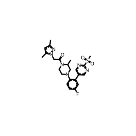 Cc1cc(C)n(CC(=O)N2CCN(c3ccc(F)cc3-c3cnc(S(C)(=O)=O)nc3)CC2C)n1